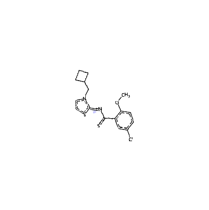 COc1ccc(Cl)cc1C(=S)/N=c1\sccn1CC1CCC1